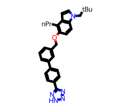 CCCc1c(OCc2cccc(-c3ccc(-c4nn[nH]n4)cc3)c2)ccc2c1ccn2CC(C)(C)C